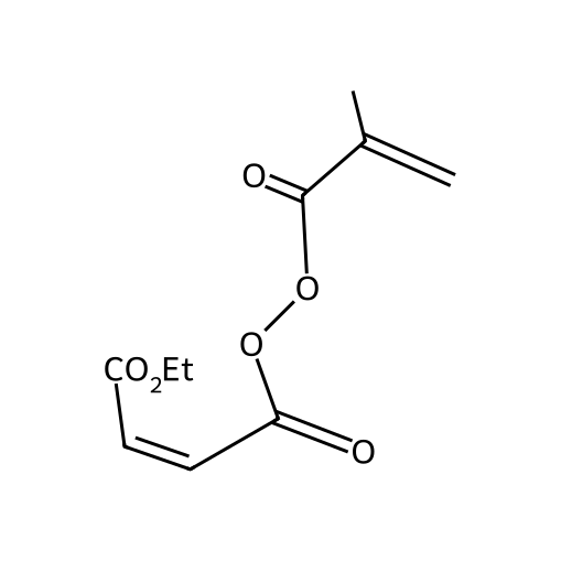 C=C(C)C(=O)OOC(=O)/C=C\C(=O)OCC